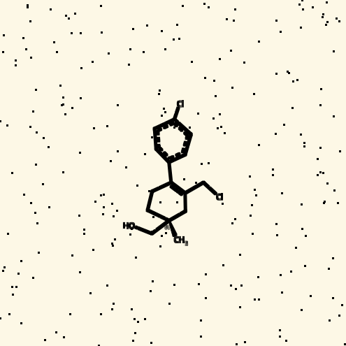 C[C@@]1(CO)CCC(c2ccc(Cl)cc2)=C(CCl)C1